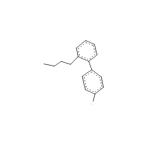 CCCCc1ccccc1-c1ccc(Br)cc1